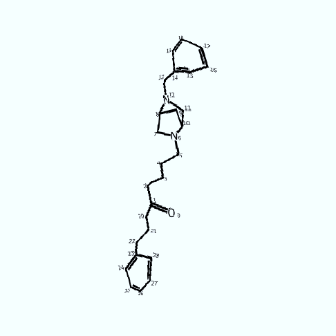 O=C(CCCCN1CC2CC1CN2Cc1ccccc1)CCCc1ccccc1